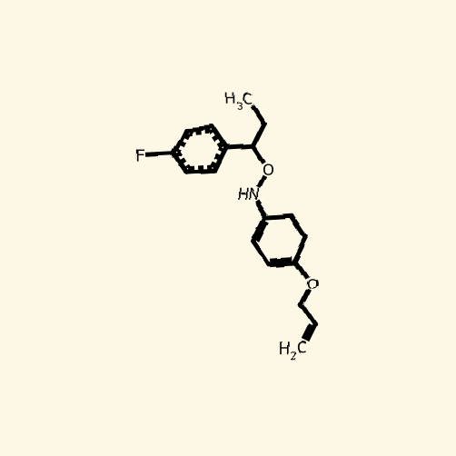 C=CCOC1=CC=C(NOC(CC)c2ccc(F)cc2)CC1